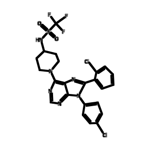 O=S(=O)(NC1CCN(c2ncnc3c2nc(-c2ccccc2Cl)n3-c2ccc(Cl)cc2)CC1)C(F)(F)F